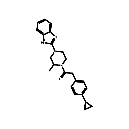 CC1CN(c2nc3ccccc3[nH]2)CCN1C(=O)Cc1ccc(C2CC2)cc1